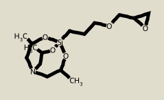 CC1CN2CC(C)O[Si](CCCOCC3CO3)(O1)OC(C)C2